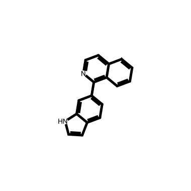 [c]1cccc2c(-c3ccc4cc[nH]c4c3)nccc12